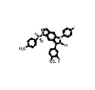 Cc1ccc(S(=O)(=O)n2ncc3cc4c(cc32)c(-c2ccc(C(=O)O)c(F)c2)c(C(C)C)n4-c2ccc(F)cc2)cc1